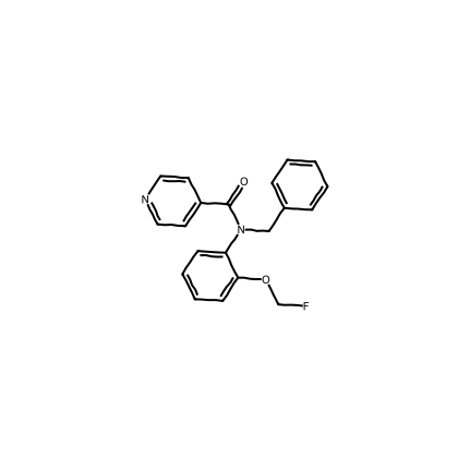 O=C(c1ccncc1)N(Cc1ccccc1)c1ccccc1OCF